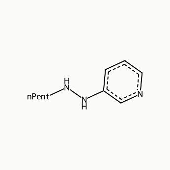 CCCCCNNc1cccnc1